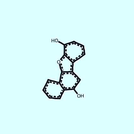 Oc1cc2c3cccc(O)c3oc2c2ccccc12